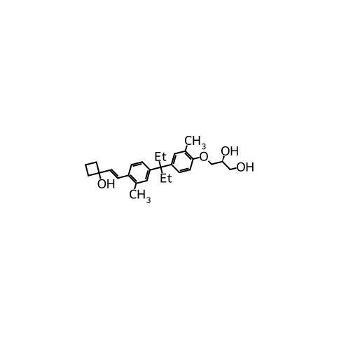 CCC(CC)(c1ccc(/C=C/C2(O)CCC2)c(C)c1)c1ccc(OC[C@@H](O)CO)c(C)c1